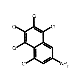 Nc1cc(Cl)c2c(Cl)c(Cl)c(Cl)c(Cl)c2c1